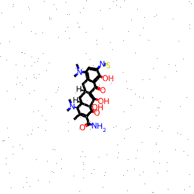 CC1=C(C(N)=O)C(=O)[C@@]2(O)C(O)=C3C(=O)c4c(O)c(N=S)cc(N(C)C)c4C[C@H]3C[C@H]2[C@@H]1N(C)C